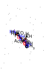 C#CCCCON(C(=O)[C@@H](NC(=O)[C@H]1CCCCN1C)[C@@H](C)CC)[C@H](C[C@@H](OC(C)=O)c1nc(C(=O)N[C@@H](Cc2ccc(NI)cc2)CC(C)(C)C(=O)O)cs1)C(C)C